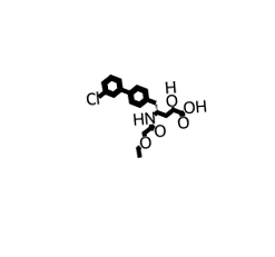 CCOCC(=O)N[C@H](Cc1ccc(-c2cccc(Cl)c2)cc1)C[C@@H](O)C(=O)O